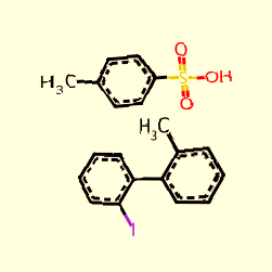 Cc1ccc(S(=O)(=O)O)cc1.Cc1ccccc1-c1ccccc1I